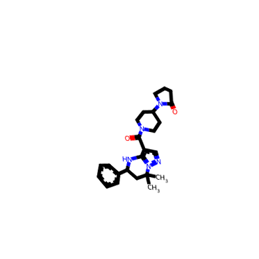 CC1(C)CC(c2ccccc2)Nc2c(C(=O)N3CCC(N4CCCC4=O)CC3)cnn21